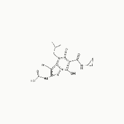 CC(C)Cn1c(=O)c(C(=O)NC2CC2)c(O)n2nc(NC(=O)O)c(Br)c12